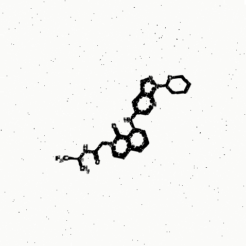 C[C@H](NC(=O)Cn1ccc2cccc(Nc3cnc4c(cnn4C4CCCCO4)c3)c2c1=O)C(F)(F)F